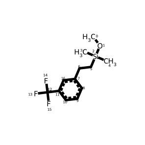 CO[Si](C)(C)CCc1cccc(C(F)(F)F)c1